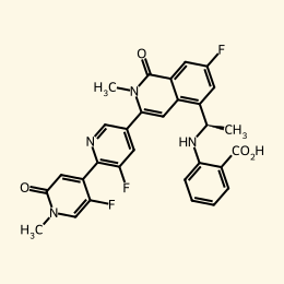 C[C@@H](Nc1ccccc1C(=O)O)c1cc(F)cc2c(=O)n(C)c(-c3cnc(-c4cc(=O)n(C)cc4F)c(F)c3)cc12